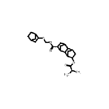 CC(C)C(=O)OC1CC2CC1C1C3CC(CC3C(=O)OCOC3CC4CCC3C4)C21